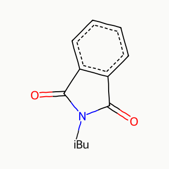 [CH2]CC(C)N1C(=O)c2ccccc2C1=O